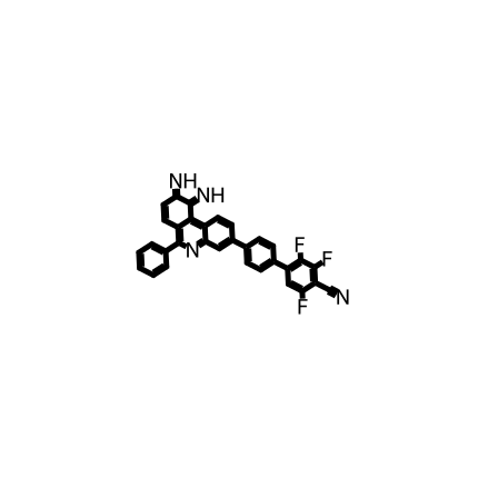 N#Cc1c(F)cc(-c2ccc(-c3ccc4c5c(c(-c6ccccc6)nc4c3)C=CC(=N)C5=N)cc2)c(F)c1F